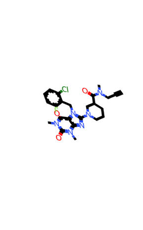 C#CCN(C)C(=O)C1CCCN(c2nc3c(c(=O)n(C)c(=O)n3C)n2Cc2c(F)cccc2Cl)C1